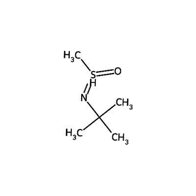 C[SH](=O)=NC(C)(C)C